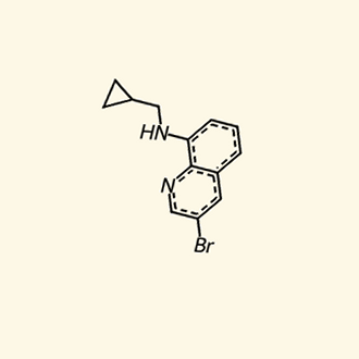 Brc1cnc2c(NCC3CC3)cccc2c1